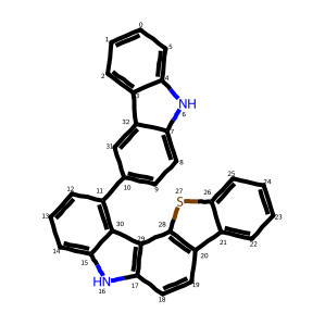 c1ccc2c(c1)[nH]c1ccc(-c3cccc4[nH]c5ccc6c7ccccc7sc6c5c34)cc12